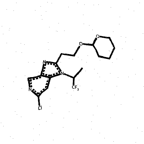 CC(n1c(CCOC2CCCCO2)nc2cnc(Cl)cc21)C(F)(F)F